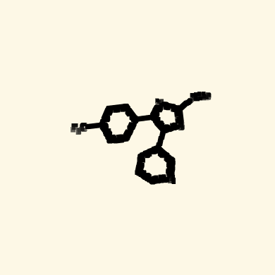 CNc1nc(-c2ccc(C(F)(F)F)cc2)c(-c2cccnc2)s1